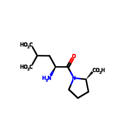 N[C@@H](CC(C(=O)O)C(=O)O)C(=O)N1CCC[C@H]1C(=O)O